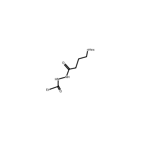 CCCCCCCCCC(=O)NNC(=O)CC